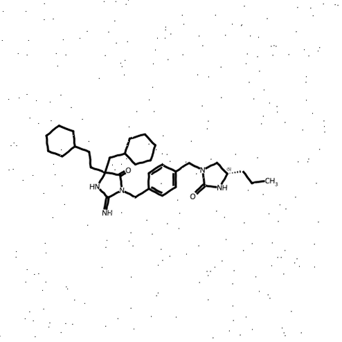 CCC[C@H]1CN(Cc2ccc(CN3C(=N)NC(CCC4CCCCC4)(CC4CCCCC4)C3=O)cc2)C(=O)N1